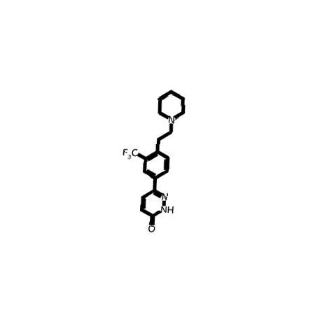 O=c1ccc(-c2ccc(CCN3CCCCC3)c(C(F)(F)F)c2)n[nH]1